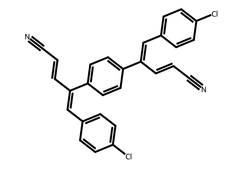 N#CC=CC(=Cc1ccc(Cl)cc1)c1ccc(C(C=CC#N)=Cc2ccc(Cl)cc2)cc1